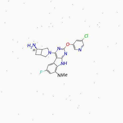 CNc1cc(F)cc2c1[nH]c1nc(Oc3cncc(Cl)c3)nc(N3CC4C[C@@H](N)C4C3)c12